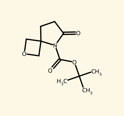 CC(C)(C)OC(=O)N1C(=O)CCC12COC2